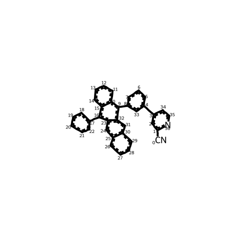 N#Cc1cc(-c2cccc(-c3c4ccccc4c(-c4ccccc4)c4cc5ccccc5cc34)c2)ccn1